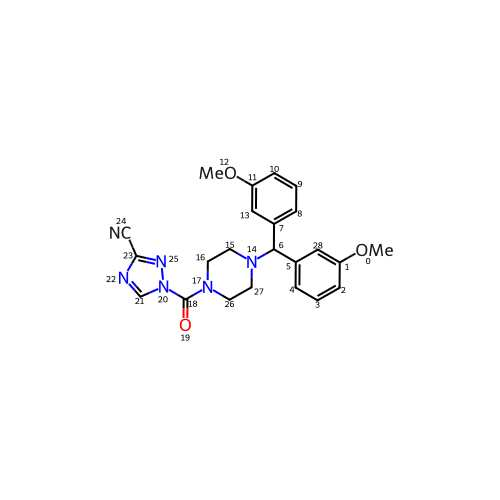 COc1cccc(C(c2cccc(OC)c2)N2CCN(C(=O)n3cnc(C#N)n3)CC2)c1